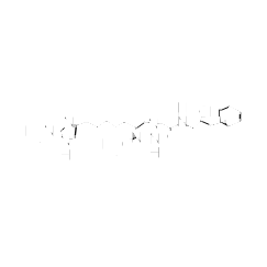 C=N/C(=C\N(N)CC(=O)NC/C(C)=C/c1ccccc1)CCCCCc1c[nH]c(N)n1